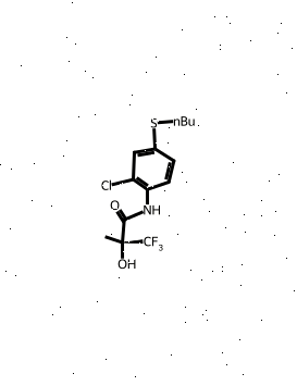 CCCCSc1ccc(NC(=O)[C@@](C)(O)C(F)(F)F)c(Cl)c1